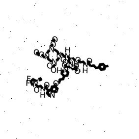 C#C[C@H]1CC(F)(F)CN1C(=O)CNC(=O)c1ccnc2ccc(OCCCC3CCN(C(=O)[C@H](CC(=O)OC)NC(=O)[C@H](CCOCCNC(=O)CCCc4ccc(C)cc4)NC(=O)CN4CCN(COC=O)CCN(COC=O)CCN(CC(=O)O)CC4)CC3)cc12